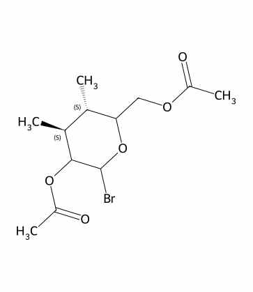 CC(=O)OCC1OC(Br)C(OC(C)=O)[C@@H](C)[C@@H]1C